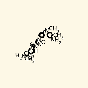 CCN(Cc1ccc(-n2ccc(NC(=O)N3CCN(C(=O)C(C)(C)N)CC3)nc2=O)cc1)C1CC[C@H](N)C(C)C1